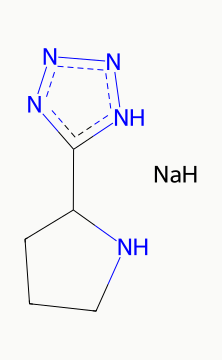 C1CNC(c2nnn[nH]2)C1.[NaH]